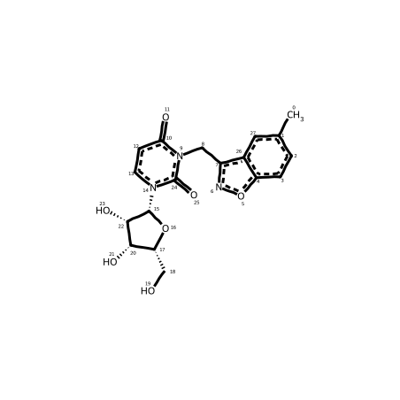 Cc1ccc2onc(Cn3c(=O)ccn([C@@H]4O[C@H](CO)[C@H](O)[C@@H]4O)c3=O)c2c1